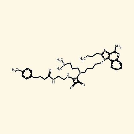 CCCCc1nc2c(N)nc3ccccc3c2n1OCCCCN(CCCN(C)C)c1c(NCCNC(=O)CCCc2ccc(C)cc2)c(=O)c1=O